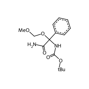 COCOC(NC(=O)OC(C)(C)C)(C(N)=O)c1ccccc1